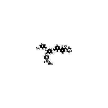 Cc1c(COc2cc(OCc3cncc(C#N)c3)c(CN3CCN(C(=O)OC(C)(C)C)CC3)cc2Cl)cccc1-c1cccc(C(=O)N2CCOCC2)c1C